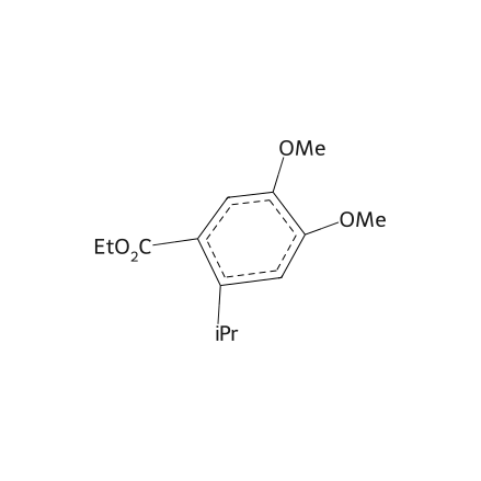 CCOC(=O)c1cc(OC)c(OC)cc1C(C)C